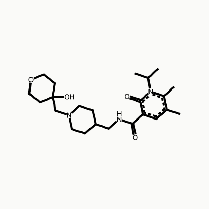 Cc1cc(C(=O)NCC2CCN(CC3(O)CCOCC3)CC2)c(=O)n(C(C)C)c1C